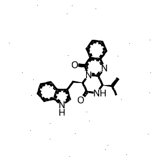 C=C(C)[C@H]1NC(=O)[C@@H](Cc2c[nH]c3ccccc23)n2c1nc1ccccc1c2=O